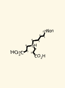 CCCCCCCCCCCCC[SH](CCC(=O)O)CCC(=O)O